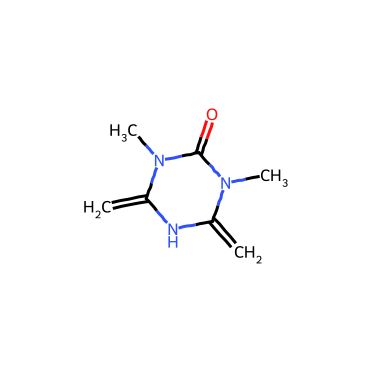 C=C1NC(=C)N(C)C(=O)N1C